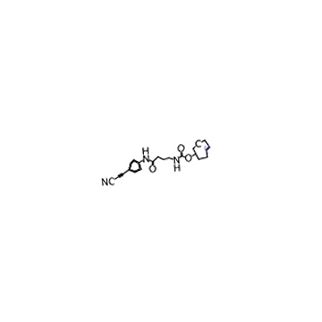 N#CC#Cc1ccc(NC(=O)CCCNC(=O)OC2CC/C=C/CCC2)cc1